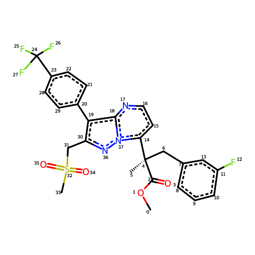 COC(=O)[C@](C)(Cc1cccc(F)c1)c1ccnc2c(-c3ccc(C(F)(F)F)cc3)c(CS(C)(=O)=O)nn12